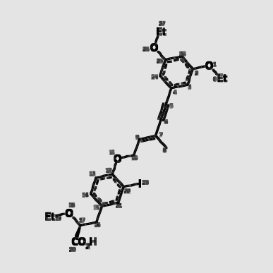 CCOc1cc(C#C/C(C)=C/COc2ccc(C[C@H](OCC)C(=O)O)cc2I)cc(OCC)c1